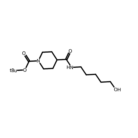 CC(C)(C)OC(=O)N1CCC(C(=O)NCCCCCO)CC1